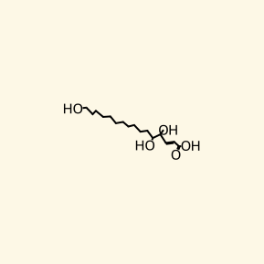 O=C(O)C=CC(O)C(O)CCCCCCCCCCCO